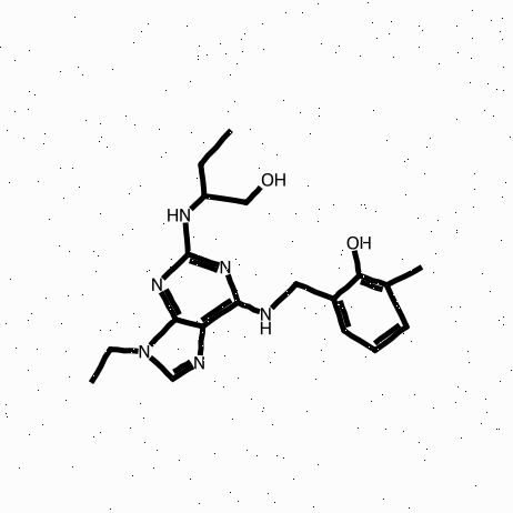 CCC(CO)Nc1nc(NCc2cccc(C)c2O)c2ncn(CC)c2n1